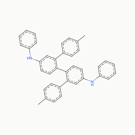 Cc1ccc(-c2cc(Nc3ccccc3)ccc2-c2ccc(Nc3ccccc3)cc2-c2ccc(C)cc2)cc1